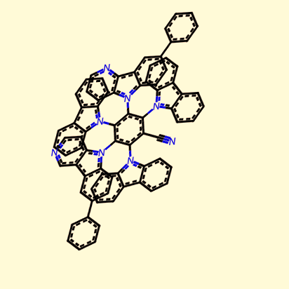 N#Cc1c(-n2c3ccccc3c3ccccc32)c(-n2c3ccncc3c3cc(-c4ccccc4)ccc32)c(-n2c3ccccc3c3ccccc32)c(-n2c3ccc(-c4ccccc4)cc3c3ncccc32)c1-n1c2ccccc2c2ccccc21